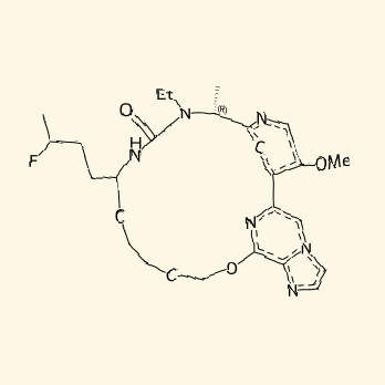 CCN1C(=O)NC(CCC(C)F)CCCCCOc2nc(cn3ccnc23)-c2cc(ncc2OC)[C@H]1C